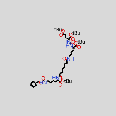 CC(C)(C)OC(=O)CC[C@H](NC(=O)N[C@@H](CCCCNC(=O)CCCCCCC(=O)NC(CCCCNC(=O)OCc1ccccc1)C(=O)OC(C)(C)C)C(=O)OC(C)(C)C)C(=O)OC(C)(C)C